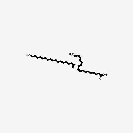 CC/C=C\C/C=C\[C@H](/C=C\CCCCCCCC(=O)O)OC(=O)CCCCCCCCCCCCCCCCC